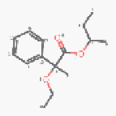 CCOC(C)(C(=O)OC(C)CC)c1ccccc1